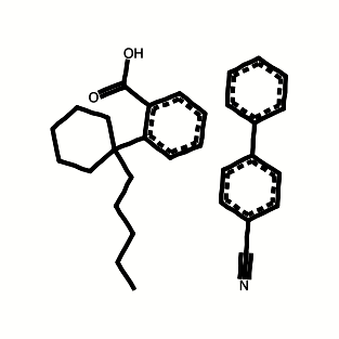 CCCCCC1(c2ccccc2C(=O)O)CCCCC1.N#Cc1ccc(-c2ccccc2)cc1